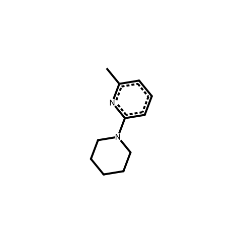 Cc1cccc(N2CCCCC2)n1